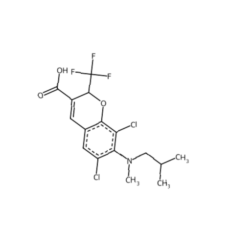 CC(C)CN(C)c1c(Cl)cc2c(c1Cl)OC(C(F)(F)F)C(C(=O)O)=C2